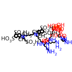 C\C(=C/C=C/C=C/C(C)=[N+](\CCCS(=O)(=O)O)c1ccc2c(S(=O)(=O)O)cc(S(=O)(=O)O)cc2c1C)N(CCCCCC(=O)NC(CCCCN)C(=O)NC(CCCCN)C(=O)NCCCCCCOP(=O)(O)OP(=O)(O)OP(=O)(O)OC[C@H]1O[C@@H](n2ccc(N)nc2=O)C[C@H]1O)c1ccc2c(S(=O)(=O)O)cc(S(=O)(=O)O)cc2c1C